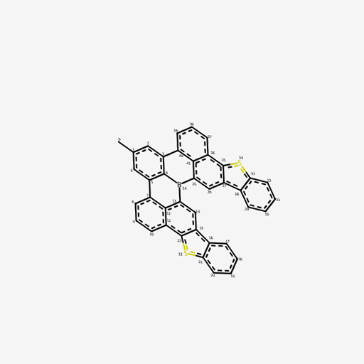 Cc1cc2c3c(c1)-c1cccc4c1c(cc1c5ccccc5sc41)B3c1cc3c4ccccc4sc3c3cccc-2c13